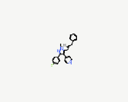 Cn1nc(-c2ccc(F)cc2)c(-c2ccncc2)c1CCCc1ccccc1